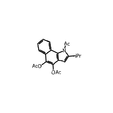 CC(=O)Oc1c(OC(C)=O)c2cc(C(C)C)n(C(C)=O)c2c2ccccc12